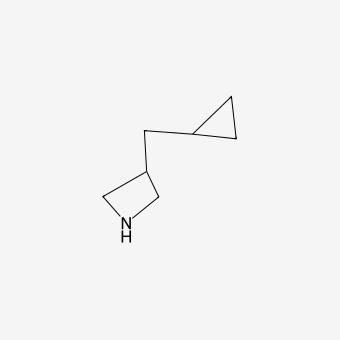 C1CC1CC1CNC1